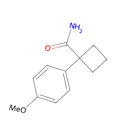 COc1ccc(C2(C(N)=O)CCC2)cc1